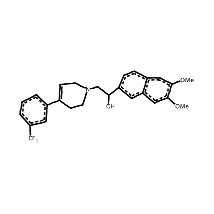 COc1cc2ccc(C(O)CN3CC=C(c4cccc(C(F)(F)F)c4)CC3)cc2cc1OC